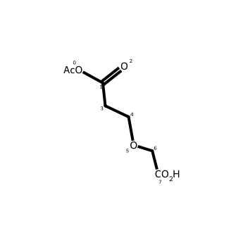 CC(=O)OC(=O)CCOCC(=O)O